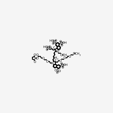 COCCOCCOCCOCCC1(C)\C(=C/C=C/C=C/C2=[N+](CCOC)c3ccc4c(S(=O)(=O)O)cc(S(=O)(=O)O)cc4c3C2(C)CCCS(=O)(=O)O)N(CCOCCOCCC(=O)ON2C(=O)CCC2=O)c2ccc3c(S(=O)(=O)[O-])cc(S(=O)(=O)O)cc3c21